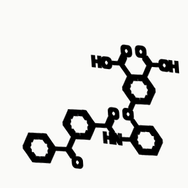 O=C(Nc1ccccc1Oc1ccc(C(=O)O)c(C(=O)O)c1)c1cccc(C(=O)c2ccccc2)c1